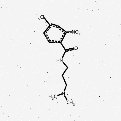 CN(C)CCCNC(=O)c1ccc(Cl)cc1[N+](=O)[O-]